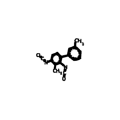 Cc1cccc(-c2ccc(N=C=O)c(C)c2N=C=O)c1